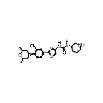 CC1CN(c2ccc(-c3nc(NC(=O)N[C@H]4CCCNC4)cs3)cc2Cl)CC(C)O1